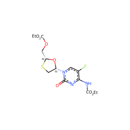 CCOC(=O)Nc1nc(=O)n([C@@H]2CS[C@H](COC(=O)OCC)O2)cc1F